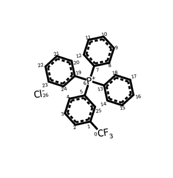 FC(F)(F)c1cccc([P+](c2ccccc2)(c2ccccc2)c2ccccc2)c1.[Cl-]